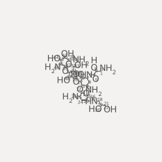 NCC(O)C(=O)N[C@@H]1C[C@H](N)[C@@H](O[C@H]2O[C@H](CNCC(O)CO)C=C[C@H]2N)[C@H](O[C@@H]2O[C@H](CO)[C@@H](O[C@H]3O[C@@H](CN)[C@@H](O)[C@H](O)[C@H]3N)[C@H]2O)[C@H]1O